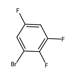 Fc1cc(F)c(F)c(Br)c1